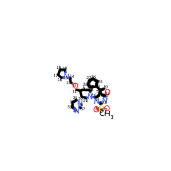 CS(=O)(=O)c1nc(N2CCC(COCCN3CCCC3)CC2)c2c(-c3ccccc3)coc2n1.c1cncnc1